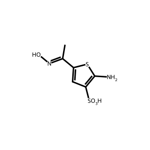 CC(=NO)c1cc(S(=O)(=O)O)c(N)s1